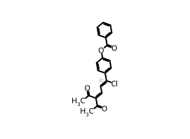 CC(=O)C(=C/C=C(\Cl)c1ccc(OC(=O)c2ccccc2)cc1)C(C)=O